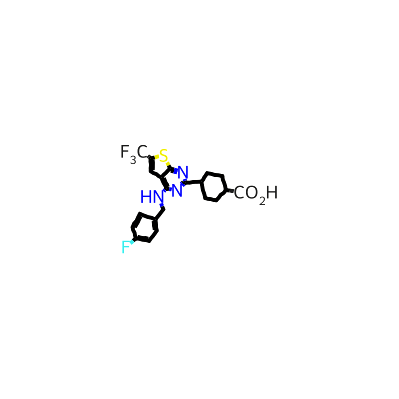 O=C(O)C1CCC(c2nc(NCc3ccc(F)cc3)c3cc(C(F)(F)F)sc3n2)CC1